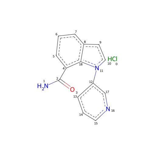 Cl.NC(=O)c1cccc2ccn(-c3cccnc3)c12